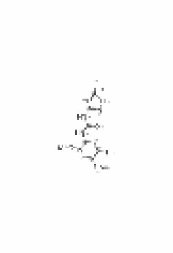 COc1cc(OC)c(NC(=O)Nc2cc(C(F)(F)F)on2)cc1F